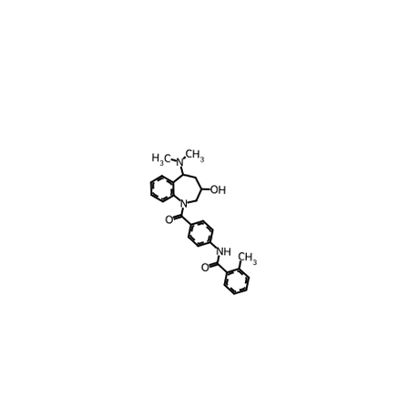 Cc1ccccc1C(=O)Nc1ccc(C(=O)N2CC(O)CC(N(C)C)c3ccccc32)cc1